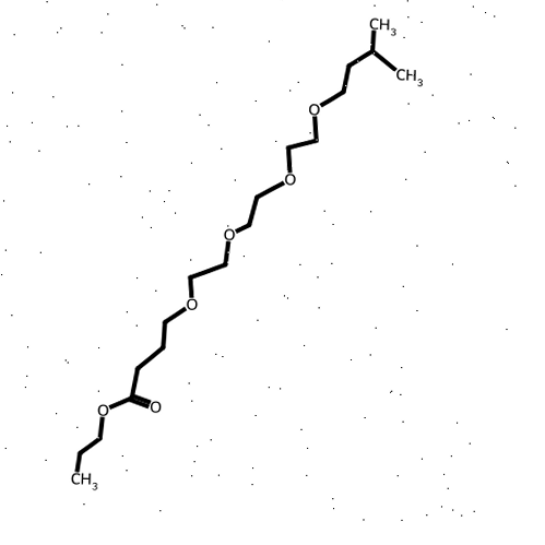 CCCOC(=O)CCCOCCOCCOCCOCCC(C)C